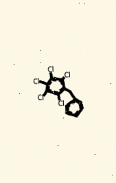 Clc1c(Cl)c(Cl)c(Cc2ccccc2)c(Cl)c1Cl